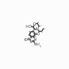 CCC(Oc1cccc2c1nc(N)n[n+]2[O-])N1CCOC(O)C1